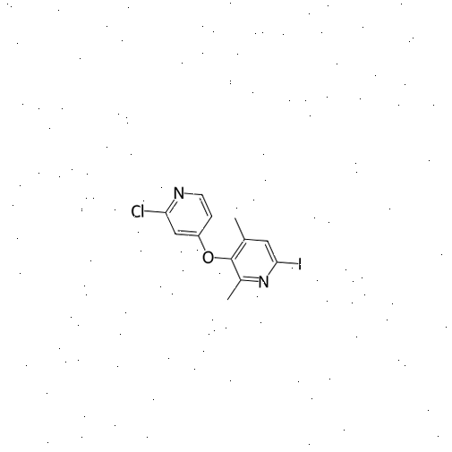 Cc1cc(I)nc(C)c1Oc1ccnc(Cl)c1